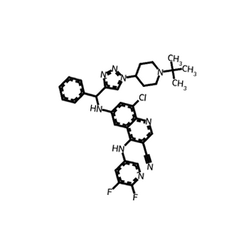 CC(C)(C)N1CCC(n2cc(C(Nc3cc(Cl)c4ncc(C#N)c(Nc5cnc(F)c(F)c5)c4c3)c3ccccc3)nn2)CC1